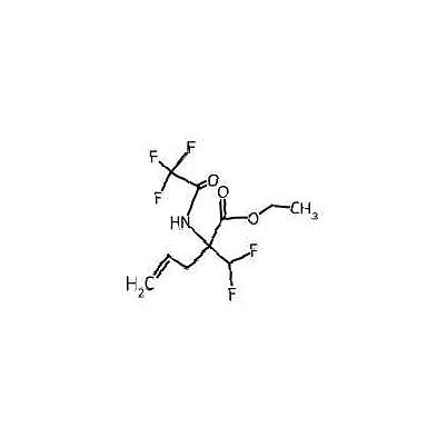 C=CCC(NC(=O)C(F)(F)F)(C(=O)OCC)C(F)F